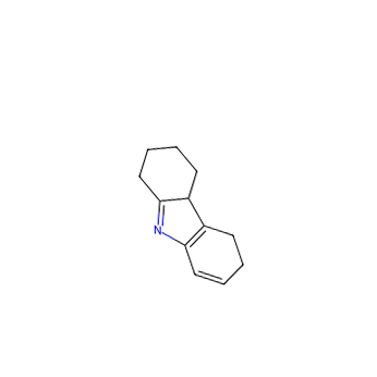 C1=CC2=C(CC1)C1CCCCC1=N2